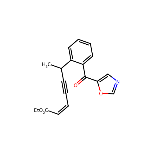 CCOC(=O)/C=C\C#CC(C)c1ccccc1C(=O)c1cnco1